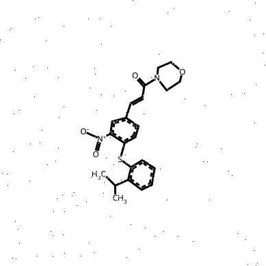 CC(C)c1ccccc1Sc1ccc(C=CC(=O)N2CCOCC2)cc1[N+](=O)[O-]